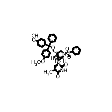 COc1ccc(C(OC[C@@]23CN(S(=O)(=O)c4ccccc4)[C@@H]([C@H](n4cc(C)c(=O)[nH]c4=O)O2)[C@@H]3O)(c2ccccc2)c2ccc(OC)cc2)cc1